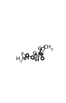 CCOC(=O)c1cc(NC(=O)c2cc(-c3ccc(F)c(N)n3)ccc2Cl)n(-c2ccccc2)n1